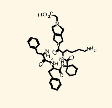 NCCCCC(NC(=O)C1(NC(=O)C(Cc2ccccc2)NC(=O)C(N)Cc2ccccc2)CCCCC1)C(=O)N1CC2=C(CN(CC(=O)O)C2)C1